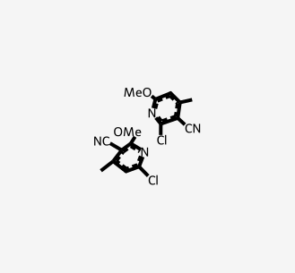 COc1cc(C)c(C#N)c(Cl)n1.COc1nc(Cl)cc(C)c1C#N